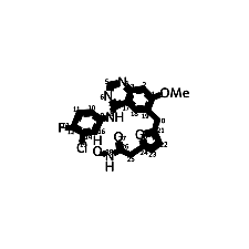 COc1cc2ncnc(Nc3ccc(F)c(Cl)c3)c2cc1Cc1ccc(CC(=O)NO)o1